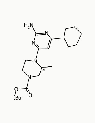 C[C@H]1CN(C(=O)OC(C)(C)C)CCN1c1cc(C2CCCCC2)nc(N)n1